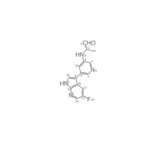 C[C@H](C=O)Nc1cncc(-c2c[nH]c3ncc(F)cc23)c1